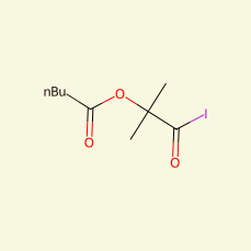 CCCCC(=O)OC(C)(C)C(=O)I